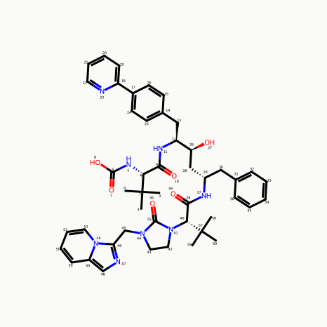 CC(C)(C)[C@H](NC(=O)O)C(=O)N[C@@H](Cc1ccc(-c2ccccn2)cc1)[C@@H](O)C[C@H](Cc1ccccc1)NC(=O)[C@@H](N1CCN(Cc2ncc3ccccn23)C1=O)C(C)(C)C